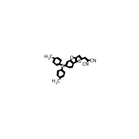 Cc1ccc(N(c2ccc(C)cc2)c2ccc3c(c2)oc2cc(C=C(C#N)C#N)sc23)cc1